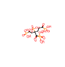 O=C(CCC(CC(=O)P(=O)(O)O)(C(=O)P(=O)(O)O)P(=O)(O)O)P(=O)(O)O